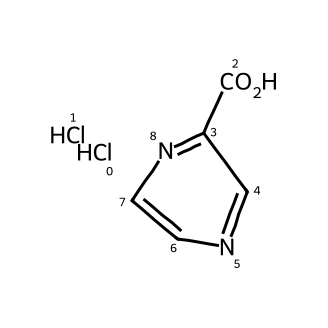 Cl.Cl.O=C(O)c1cnccn1